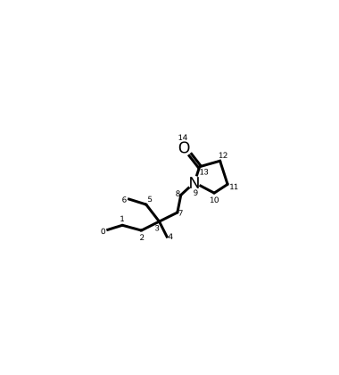 CCCC(C)(CC)CCN1CCCC1=O